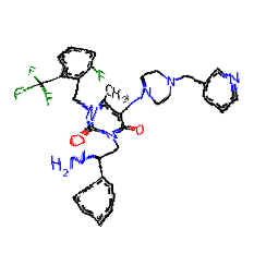 Cc1c(N2CCN(Cc3cccnc3)CC2)c(=O)n(CC(N)c2ccccc2)c(=O)n1Cc1c(F)cccc1C(F)(F)F